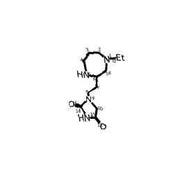 CCN1CCCNC(CCN2CC(=O)NC2=O)C1